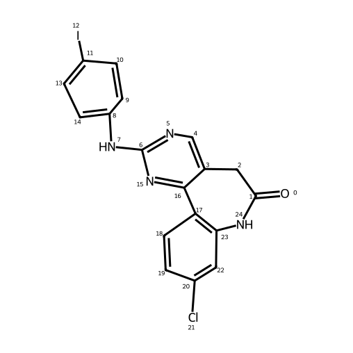 O=C1Cc2cnc(Nc3ccc(I)cc3)nc2-c2ccc(Cl)cc2N1